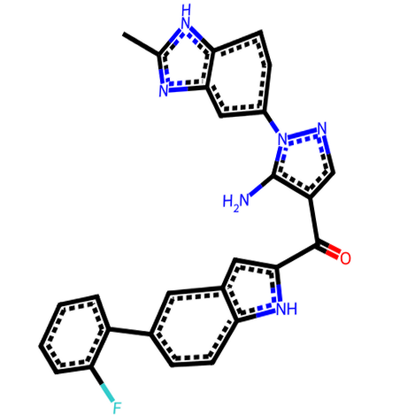 Cc1nc2cc(-n3ncc(C(=O)c4cc5cc(-c6ccccc6F)ccc5[nH]4)c3N)ccc2[nH]1